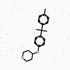 Cc1ccc(C(C)(C)c2ccc(OC3CCOCC3)cc2)cc1